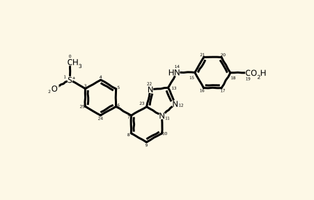 C[S+]([O-])c1ccc(-c2cccn3nc(Nc4ccc(C(=O)O)cc4)nc23)cc1